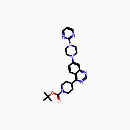 CC(C)(C)OC(=O)N1CCC(c2ncnc3cc(N4CCN(c5ncccn5)CC4)ccc23)CC1